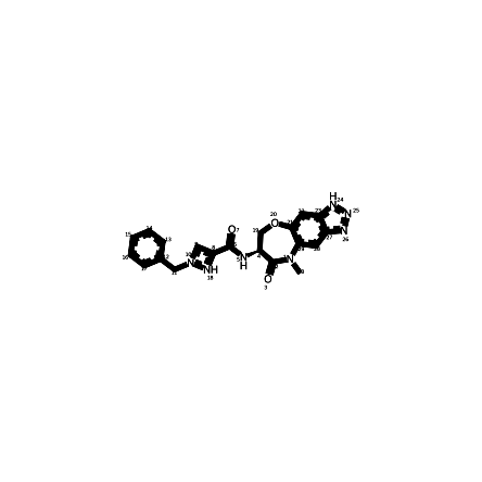 CN1C(=O)[C@@H](NC(=O)c2cn(Cc3ccccc3)[nH]2)COc2cc3[nH]nnc3cc21